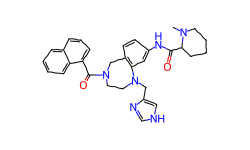 CN1CCCCC1C(=O)Nc1ccc2c(c1)N(Cc1c[nH]cn1)CCN(C(=O)c1cccc3ccccc13)C2